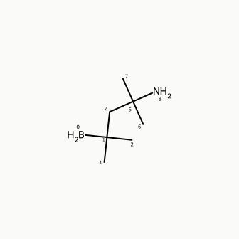 BC(C)(C)CC(C)(C)N